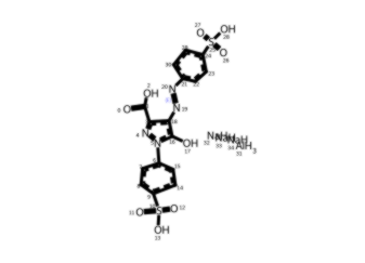 O=C(O)c1nn(-c2ccc(S(=O)(=O)O)cc2)c(O)c1/N=N/c1ccc(S(=O)(=O)O)cc1.[AlH3].[NaH].[NaH].[NaH]